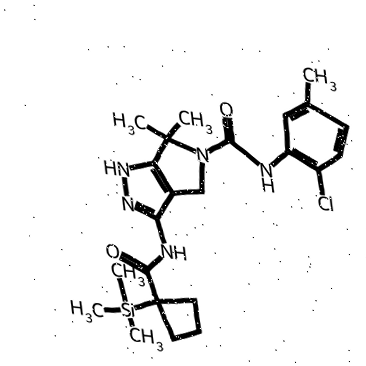 Cc1ccc(Cl)c(NC(=O)N2Cc3c(NC(=O)C4([Si](C)(C)C)CCC4)n[nH]c3C2(C)C)c1